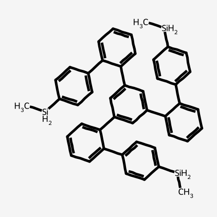 C[SiH2]c1ccc(-c2ccccc2-c2cc(-c3ccccc3-c3ccc([SiH2]C)cc3)cc(-c3ccccc3-c3ccc([SiH2]C)cc3)c2)cc1